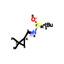 CC1(C)CC1/C=N/[S@@+]([O-])C(C)(C)C